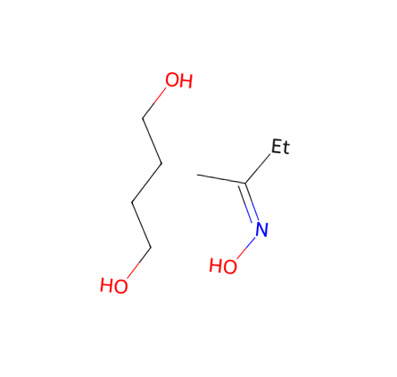 CCC(C)=NO.OCCCCO